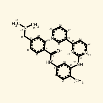 Cc1ccc(NC(=O)c2ccc(CN(C)C)cc2)cc1Nc1nccc(-c2cccnc2)n1